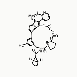 CCn1c(-c2cccnc2[C@H](C)OC)c2c3cc(ccc31)-c1cc(O)cc(c1)C[C@H](NC(=O)C1[C@H]3CCC[C@@H]13)C(=O)N1CCC[C@H](N1)C(=O)OCC(C)(C)C2